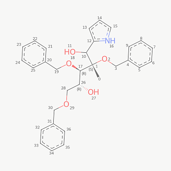 C[C@](OCc1ccccc1)(C(O)c1ccc[nH]1)[C@H](OCc1ccccc1)[C@H](O)COCc1ccccc1